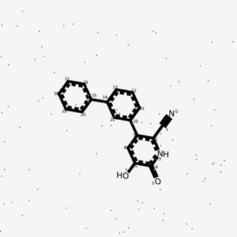 N#Cc1[nH]c(=O)c(O)cc1-c1cccc(-c2ccccc2)c1